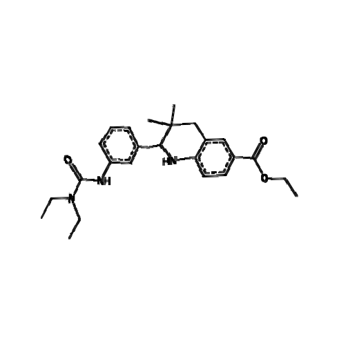 CCOC(=O)c1ccc2c(c1)CC(C)(C)C(c1cccc(NC(=O)N(CC)CC)c1)N2